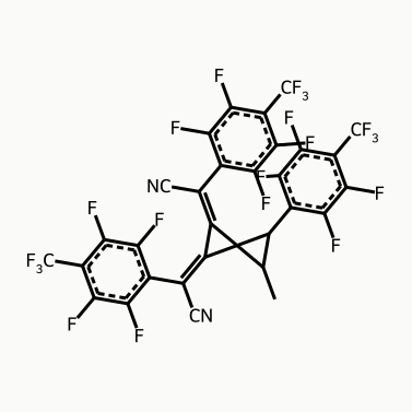 CC1C(c2c(F)c(F)c(C(F)(F)F)c(F)c2F)C12C(=C(/C#N)c1c(F)c(F)c(C(F)(F)F)c(F)c1F)/C2=C(/C#N)c1c(F)c(F)c(C(F)(F)F)c(F)c1F